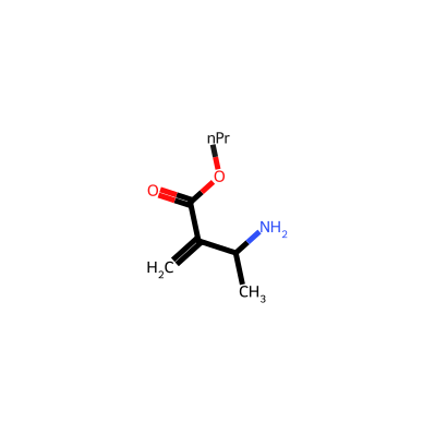 C=C(C(=O)OCCC)C(C)N